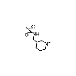 CN1CCCC(CNS(C)(=O)=O)C1